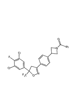 CC(C)C(=O)N1CC(c2ccc(C3=NOC(c4cc(Cl)c(F)c(Cl)c4)(C(F)(F)F)C3)cc2)C1